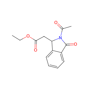 CCOC(=O)CC1c2ccccc2C(=O)N1C(C)=O